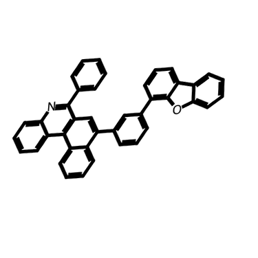 c1ccc(-c2nc3ccccc3c3c2cc(-c2cccc(-c4cccc5c4oc4ccccc45)c2)c2ccccc23)cc1